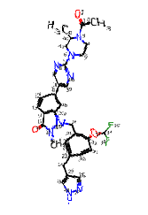 CC(=O)N1CCN(c2ncc(-c3ccc4c(=O)n(C)n(Cc5cc(Cc6cn[nH]c6)ccc5OC(F)F)c4c3)cn2)C[C@H]1C